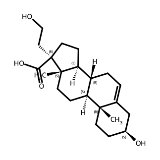 C[C@]12CC[C@H](O)CC1=CC[C@@H]1[C@@H]2CC[C@@]2(C)[C@H]1CC[C@]2(CCO)C(=O)O